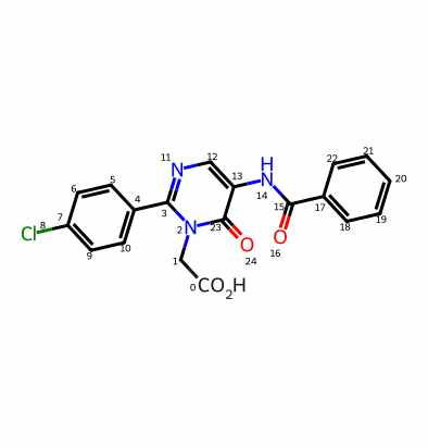 O=C(O)Cn1c(-c2ccc(Cl)cc2)ncc(NC(=O)c2ccccc2)c1=O